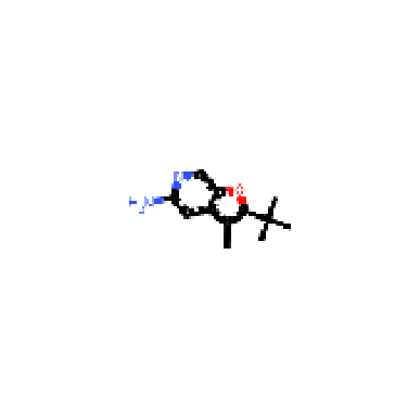 Cc1c(C(C)(C)C)oc2cnc(N)cc12